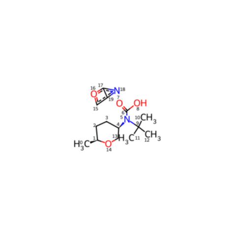 C[C@H]1CC[C@@H](N(C(=O)O)C(C)(C)C)CO1.c1oc2nc1-2